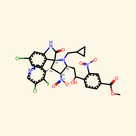 COC(=O)c1ccc(C(O)C[C@H]2[C@@H]([N+](=O)[O-])[C@H](c3cncc(Cl)c3F)[C@]3(C(=O)Nc4cc(Cl)ccc43)N2CC2CC2)c([N+](=O)[O-])c1